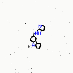 CCn1c2ccccc2c2cc(CNCc3ccccn3)ccc21